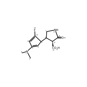 CN(C)C1=CC(C2CNC(=O)[C@H]2C(=O)O)C(F)=C1